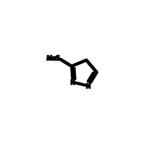 CSC1=NN=CC1